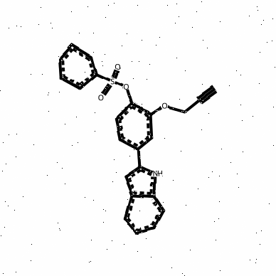 C#CCOc1cc(-c2cc3ccccc3[nH]2)ccc1OS(=O)(=O)c1ccccc1